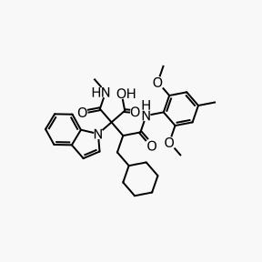 CNC(=O)C(C(=O)O)(C(CC1CCCCC1)C(=O)Nc1c(OC)cc(C)cc1OC)n1ccc2ccccc21